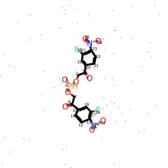 O=C(CO[PH](=O)OCC(=O)c1ccc([N+](=O)[O-])c(F)c1)c1ccc([N+](=O)[O-])c(F)c1